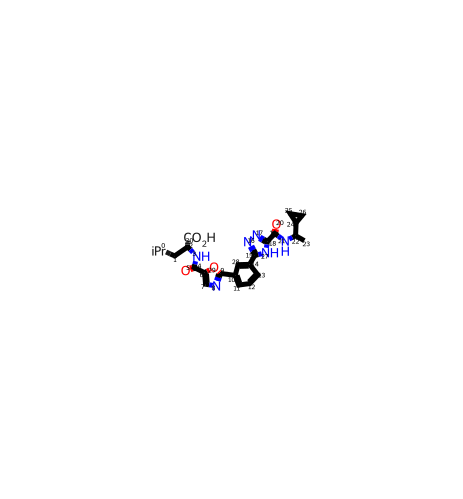 CC(C)CC(NC(=O)c1cnc(-c2cccc(-c3nnc(C(=O)NC(C)C4CC4)[nH]3)c2)o1)C(=O)O